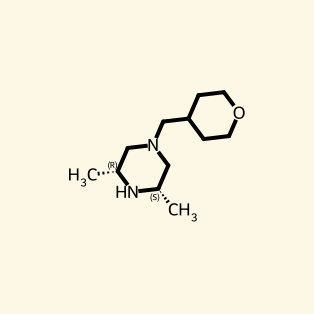 C[C@@H]1CN(CC2CCOCC2)C[C@H](C)N1